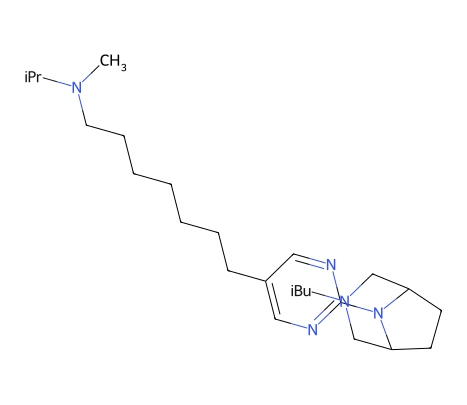 CCC(C)N1CC2CCC(C1)N2c1ncc(CCCCCCCN(C)C(C)C)cn1